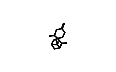 C=C1CCC2(CC3CC(C2C)C3(C)C)C(C)C1